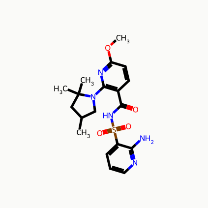 COc1ccc(C(=O)NS(=O)(=O)c2cccnc2N)c(N2CC(C)CC2(C)C)n1